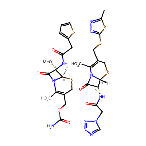 CO[C@@]1(NC(=O)Cc2cccs2)C(=O)N2C(C(=O)O)=C(COC(N)=O)CS[C@@H]21.Cc1nnc(SCC2=C(C(=O)O)N3C(=O)[C@@H](NC(=O)Cn4cnnn4)[C@H]3SC2)s1